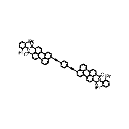 CC(C)c1cccc(C(C)C)c1N1C(=O)c2ccc3c4cccc5c(C#Cc6ccc(C#Cc7ccc8c9ccc%10c%11c(ccc(c%12cccc7c%128)c%119)C(=O)N(c7c(C(C)C)cccc7C(C)C)C%10=O)cc6)ccc(c6ccc(c2c36)C1=O)c54